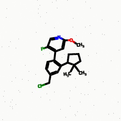 COc1cc(-c2ccc(CCl)cc2C2CCCC2(C)C)c(F)cn1